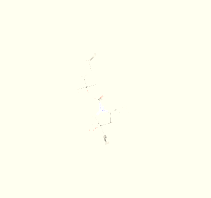 C#C[C@@]1(O)C[C@H](C(=O)O)N(C(=O)OC(C)(C)CCC=C)C1